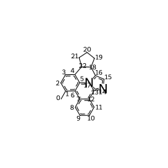 Cc1ccc2c3c1c1ccccc1c1ncc(n13)C1CCCC21